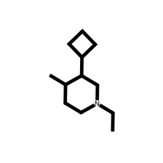 CCN1CCC(C)C(C2CCC2)C1